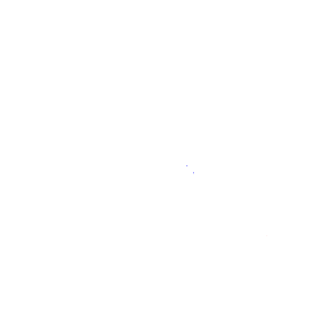 CCCCCn1c(-c2ccc(F)cc2)cc(=O)c(C(=O)O)c1-c1ccccc1